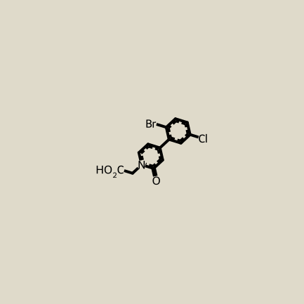 O=C(O)Cn1ccc(-c2cc(Cl)ccc2Br)cc1=O